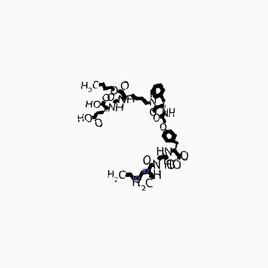 C=C/C=C\C=C(/C=C)C(=O)NCC(=O)N[C@@H](Cc1ccc(OCC(=O)N[C@@H](Cc2ccccc2)C(=O)NCCCC[C@H](NC(=O)N[C@@H](CCC(=O)O)C(=O)O)C(=O)OCCCC)cc1)C(=O)O